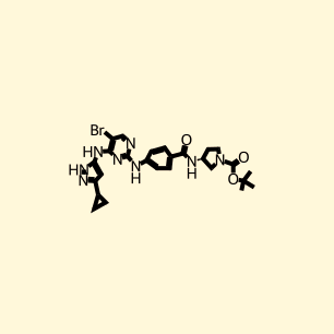 CC(C)(C)OC(=O)N1CC[C@@H](NC(=O)c2ccc(Nc3ncc(Br)c(Nc4cc(C5CC5)n[nH]4)n3)cc2)C1